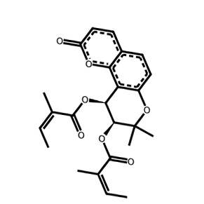 C/C=C(/C)C(=O)O[C@H]1c2c(ccc3ccc(=O)oc23)OC(C)(C)[C@H]1OC(=O)/C(C)=C\C